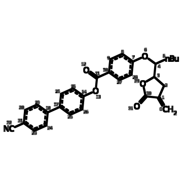 C=C1CC(C(CCCC)Oc2ccc(C(=O)Oc3ccc(-c4ccc(C#N)cc4)cc3)cc2)OC1=O